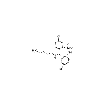 COCCCNC1c2cc(Br)ccc2NS(=O)(=O)c2cc(Cl)ccc21